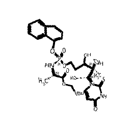 C[C@H](N[P@@](=O)(OCCC(O)[C@@](C)(O)[C@@H](O)n1ccc(=O)[nH]c1=S)Oc1cccc2ccccc12)C(=O)OCC(C)(C)C